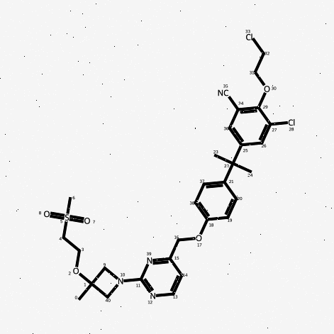 CC1(OCCS(C)(=O)=O)CN(c2nccc(COc3ccc(C(C)(C)c4cc(Cl)c(OCCCl)c(C#N)c4)cc3)n2)C1